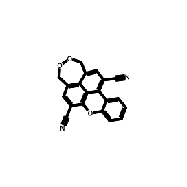 N#Cc1cc2c3c(cc(C#N)c4c3c1Oc1ccccc1-4)COOC2